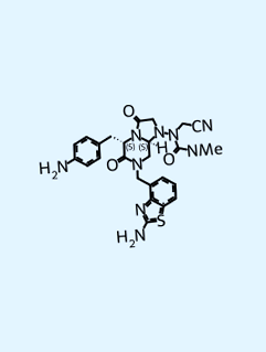 CNC(=O)N(CC#N)N1CC(=O)N2[C@@H](Cc3ccc(N)cc3)C(=O)N(Cc3cccc4sc(N)nc34)C[C@@H]21